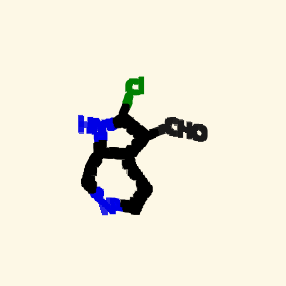 O=Cc1c(Cl)[nH]c2cnccc12